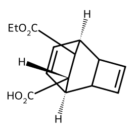 CCOC(=O)C1[C@H]2C=C[C@H](C3C=CC32)[C@@H]1C(=O)O